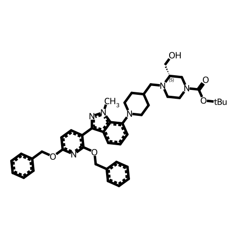 Cn1nc(-c2ccc(OCc3ccccc3)nc2OCc2ccccc2)c2cccc(N3CCC(CN4CCN(C(=O)OC(C)(C)C)C[C@H]4CO)CC3)c21